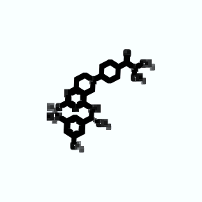 Cc1nc2c(c(N[C@H](C)c3cc(N)cc(C(F)(F)F)c3)n1)CN(C1CCC(C(=O)N(C)C)CC1)CC2